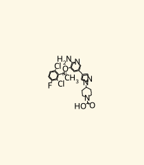 C[C@H](Oc1cc(-c2cnn(C3CCN(C(=O)O)CC3)c2)cnc1N)c1c(Cl)ccc(F)c1Cl